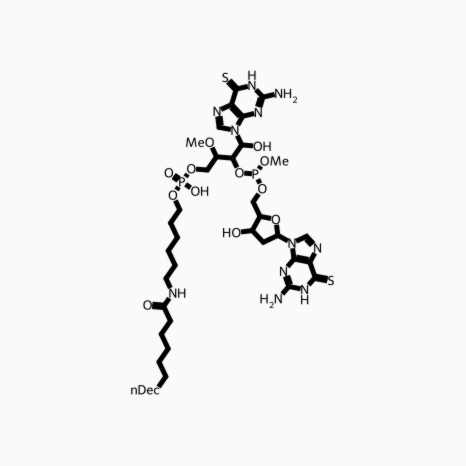 CCCCCCCCCCCCCCCC(=O)NCCCCCCOP(=O)(O)OCC(OC)C(OP(OC)OCC1OC(n2cnc3c(=S)[nH]c(N)nc32)CC1O)C(O)n1cnc2c(=S)[nH]c(N)nc21